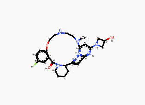 CN1CCNCCOc2ccc(F)cc2C(=O)N2CCCCC2c2cc3nc(N4CC(O)C4)cc1n3n2